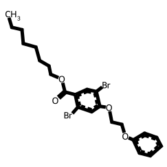 CCCCCCCCOC(=O)c1cc(Br)c(OCCOc2ccccc2)cc1Br